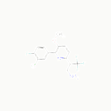 COc1ccc(C(CN)C(F)(F)F)nc1-c1ccc(F)c(Cl)c1